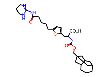 O=C(CCCCc1ccc(CC(NC(=O)OCC23CC4CCCC(C2)C(C4)C3)C(=O)O)s1)NC1=NCCCN1